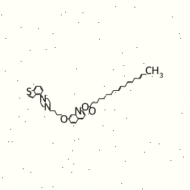 CCC=CCC=CCC=CCCCCCCCC(=O)Oc1ccc2ccc(OCCCCN3CCN(c4cccc5sccc45)CC3)cc2n1